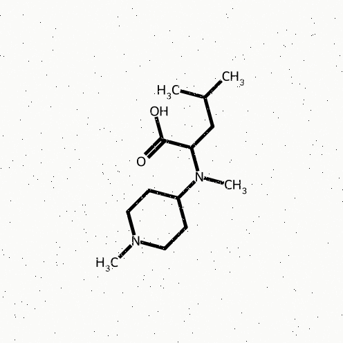 CC(C)CC(C(=O)O)N(C)C1CCN(C)CC1